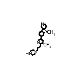 Cn1c2ccncc2c2ccc(-c3cnc(CCCN4CCNCC4)c(C(F)(F)F)c3)cc21